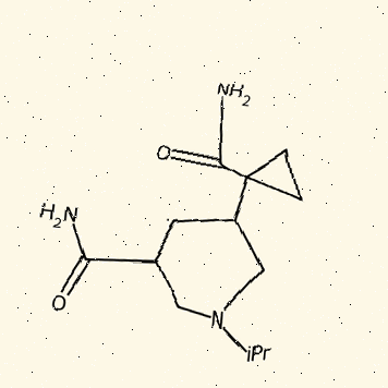 CC(C)N1CC(C(N)=O)[CH]C(C2(C(N)=O)CC2)C1